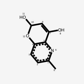 Cc1ccc2c(n1)C(O)=CC(O)O2